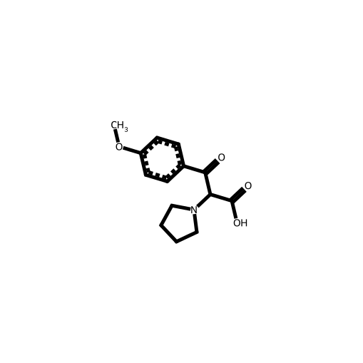 COc1ccc(C(=O)C(C(=O)O)N2CCCC2)cc1